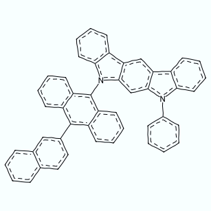 c1ccc(-n2c3ccccc3c3cc4c5ccccc5n(-c5c6ccccc6c(-c6ccc7ccccc7c6)c6ccccc56)c4cc32)cc1